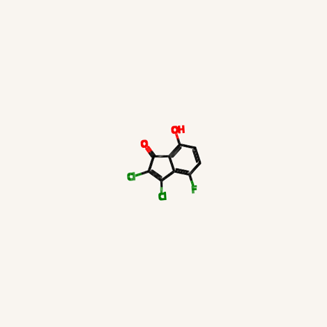 O=C1C(Cl)=C(Cl)c2c(F)ccc(O)c21